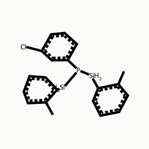 Cc1ccccc1[SiH2]P([SiH2]c1ccccc1C)c1cccc(Cl)c1